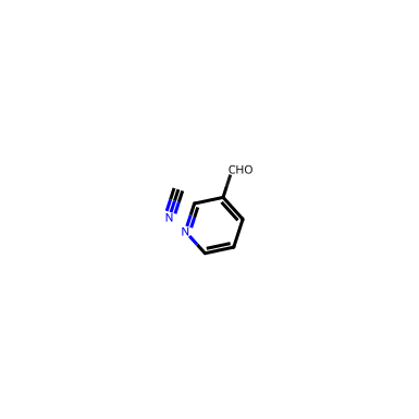 C#N.O=Cc1cccnc1